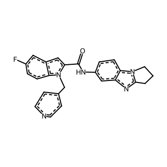 O=C(Nc1ccc2c(c1)nc1n2CCC1)c1cc2cc(F)ccc2n1Cc1ccncc1